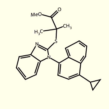 COC(=O)C(C)(C)Sc1nc2ccccc2n1-c1ccc(C2CC2)c2ccccc12